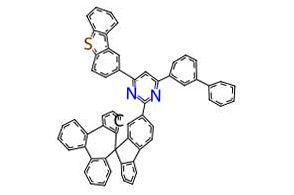 c1ccc(-c2cccc(-c3cc(-c4ccc5sc6ccccc6c5c4)nc(-c4ccc5c(c4)C4(c6ccccc6-c6ccccc6-c6ccccc64)c4ccccc4-5)n3)c2)cc1